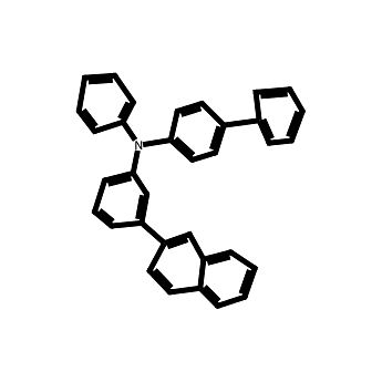 c1ccc(-c2ccc(N(c3ccccc3)c3cccc(-c4ccc5ccccc5c4)c3)cc2)cc1